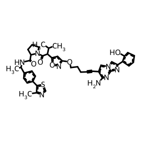 Cc1ncsc1-c1ccc(C(C)NC(=O)C2CCCN2C(=O)C(c2cc(OCCCC#Cc3cn4cc(-c5ccccc5O)nc4nc3N)no2)C(C)C)cc1